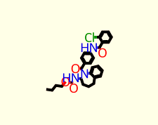 CCCCOC(=O)NC1CCCc2ccccc2N1C(=O)c1ccc(NC(=O)c2ccccc2Cl)cc1